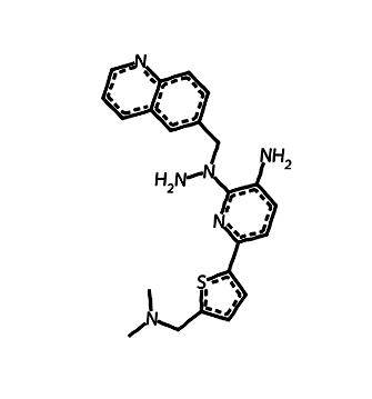 CN(C)Cc1ccc(-c2ccc(N)c(N(N)Cc3ccc4ncccc4c3)n2)s1